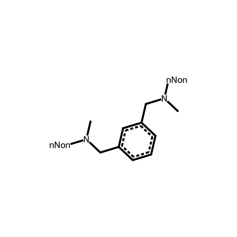 CCCCCCCCCN(C)Cc1cccc(CN(C)CCCCCCCCC)c1